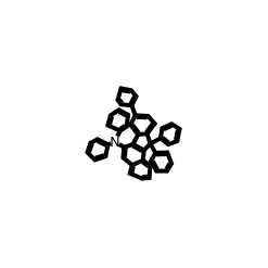 c1ccc(-c2ccc3c(c2)-c2c(N(c4ccccc4)c4ccccc4)cc4ccccc4c2C3(c2ccccc2)c2ccccc2)cc1